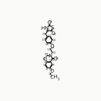 CCOc1ccc2c(c1)C(=O)N(CCOc1ccc(CC3NC(=O)SC3=O)cc1)CO2